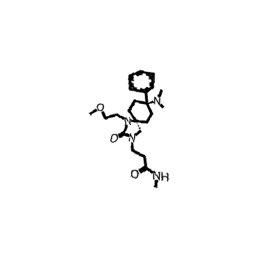 CNC(=O)CCN1C[C@]2(CC[C@](c3ccccc3)(N(C)C)CC2)N(CCOC)C1=O